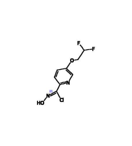 O/N=C(\Cl)c1ccc(OCC(F)F)cn1